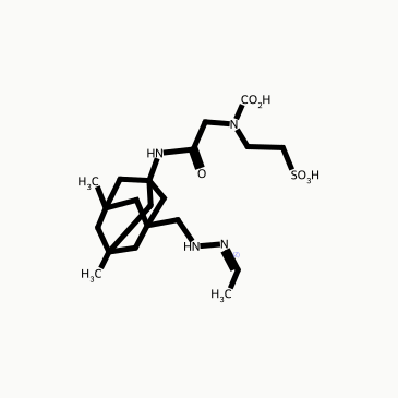 C/C=N\NCC12CC3(C)CC(C)(C1)CC(NC(=O)CN(CCS(=O)(=O)O)C(=O)O)(C3)C2